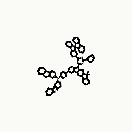 CC1(C)c2ccccc2-c2cc3c(cc21)C(c1nc(-c2ccccc2)nc(-c2ccc4c(c2)C2(c5ccccc5-c5ccccc52)c2ccccc2-4)n1)c1ccc(-c2ccc(N(c4ccc5c(c4)Cc4ccccc4-5)c4ccc5sc6ccccc6c5c4)cc2)cc1-3